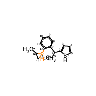 CCC(C1=CC=CB1)c1ccccc1[PH]1(C)CC1C